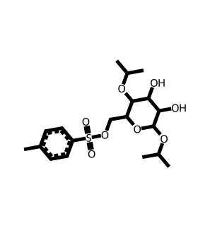 Cc1ccc(S(=O)(=O)OCC2OC(OC(C)C)C(O)C(O)C2OC(C)C)cc1